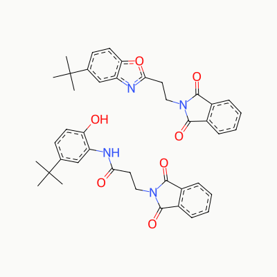 CC(C)(C)c1ccc(O)c(NC(=O)CCN2C(=O)c3ccccc3C2=O)c1.CC(C)(C)c1ccc2oc(CCN3C(=O)c4ccccc4C3=O)nc2c1